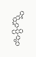 c1ccc2c(c1)oc1cc(-c3c4ccccc4c(-c4ccc5c(c4)sc4ccc6cc7c(cc6c45)sc4ccccc47)c4ccccc34)ccc12